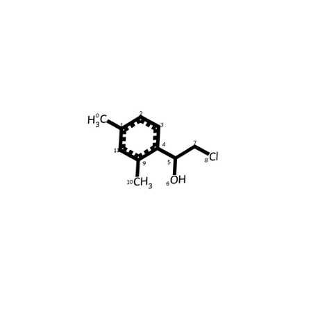 Cc1ccc(C(O)CCl)c(C)c1